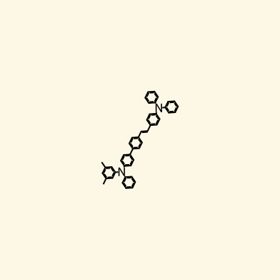 Cc1cc(C)cc(N(c2ccccc2)c2ccc(-c3ccc(/C=C/c4ccc(N(c5ccccc5)c5ccccc5)cc4)cc3)cc2)c1